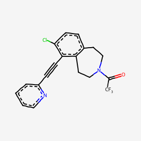 O=C(N1CCc2ccc(Cl)c(C#Cc3ccccn3)c2CC1)C(F)(F)F